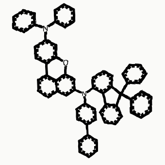 c1ccc(-c2ccc(N(c3cc4c5c(cccc5c3)-c3ccc(N(c5ccccc5)c5ccccc5)cc3O4)c3cccc4c3-c3ccccc3C4(c3ccccc3)c3ccccc3)cc2)cc1